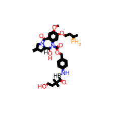 C=C1C[C@H]2[C@H](O)N(C(=O)OCc3ccc(NBC(=O)C(C)(C)CCO)cc3)c3cc(OCCC(C)P)c(OC)cc3C(=O)N2C1